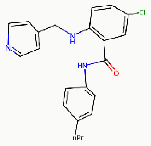 CCCc1ccc(NC(=O)c2cc(Cl)ccc2NCc2ccncc2)cc1